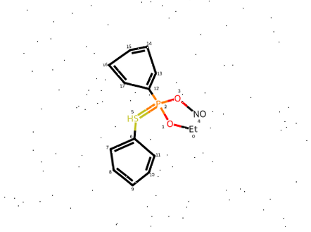 CCOP(ON=O)(=[SH]c1ccccc1)c1ccccc1